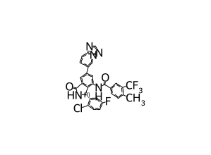 Cc1ccc(C(=O)Nc2cc(-c3ccc4ncnn4c3)cc3c2[C@H](c2cc(F)ccc2Cl)NC3=O)cc1C(F)(F)F